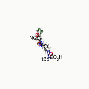 CC(C)(C)N(CC(=O)N1CCc2ccc(-c3noc(-c4ccc(OC(CF)CF)c(C#N)c4)n3)cc2CC1)C(=O)O